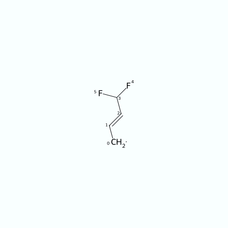 [CH2]C=CC(F)F